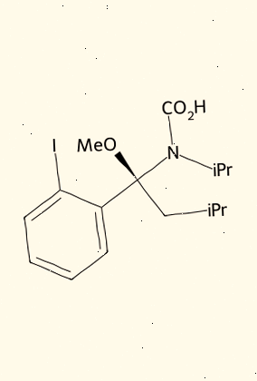 CO[C@@](CC(C)C)(c1ccccc1I)N(C(=O)O)C(C)C